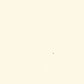 CCCCC(=O)C(C)(C)CCC=C(C)C